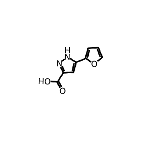 O=C(O)c1cc(-c2ccco2)[nH]n1